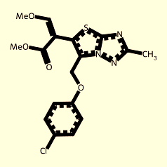 COC=C(C(=O)OC)c1sc2nc(C)nn2c1COc1ccc(Cl)cc1